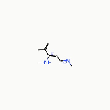 C=C(C)/C(=C/C=N/C)NC